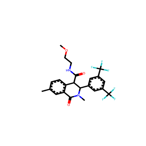 COCCNC(=O)C1c2ccc(C)cc2C(=O)N(C)C1c1cc(C(F)(F)F)cc(C(F)(F)F)c1